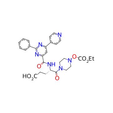 CCOC(=O)ON1CCN(C(=O)[C@H](CCC(=O)O)NC(=O)c2cc(-c3ccncc3)nc(-c3ccccc3)n2)CC1